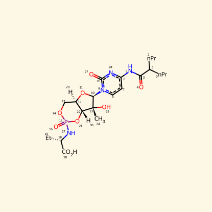 CCCC(CCC)C(=O)Nc1ccn([C@@H]2O[C@@H]3COP(=O)(N[C@@H](CC)C(=O)O)O[C@H]3[C@@]2(C)O)c(=O)n1